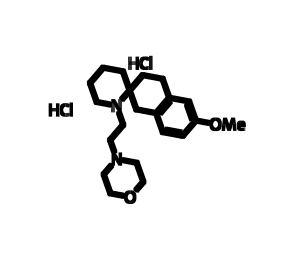 COc1ccc2c(c1)CCC1(CCCCN1CCN1CCOCC1)C2.Cl.Cl